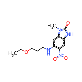 CCOCCCNc1cc2c(cc1[N+](=O)[O-])[nH]c(=O)n2C